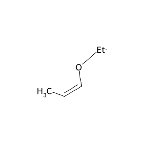 C[CH]O/C=C\C